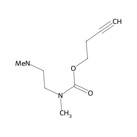 C#CCCOC(=O)N(C)CCNC